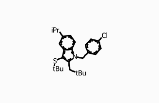 CC(C)c1ccc2c(c1)c(SC(C)(C)C)c(CC(C)(C)C)n2Cc1ccc(Cl)cc1